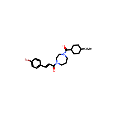 COC1CCC(C(=O)N2CCCN(C(=O)/C=C/c3ccc(Br)cc3)CC2)CC1